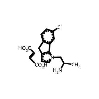 C[C@@H](N)Cn1ccc2c1-c1cc(Cl)ccc1C2.O=C(O)C=CC(=O)O